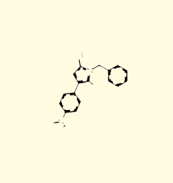 Cc1cc(-c2ccc([N+](=O)[O-])cc2)c(C)n1Cc1ccccc1